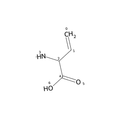 C=CC([NH])C(=O)O